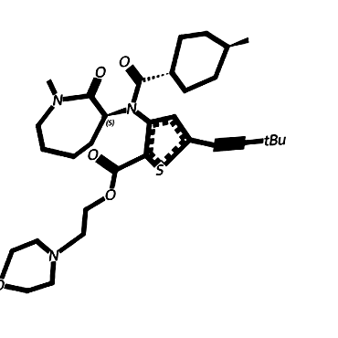 CN1CCCC[C@H](N(c2cc(C#CC(C)(C)C)sc2C(=O)OCCN2CCOCC2)C(=O)[C@H]2CC[C@H](C)CC2)C1=O